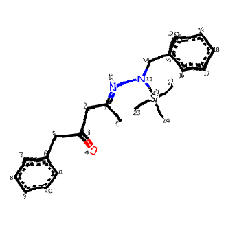 C/C(CC(=O)Cc1ccccc1)=N\N(Cc1ccccc1)[Si](C)(C)C